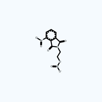 O=C1c2cccc([N+](=O)[O-])c2C(=O)N1CCO[N+](=O)[O-]